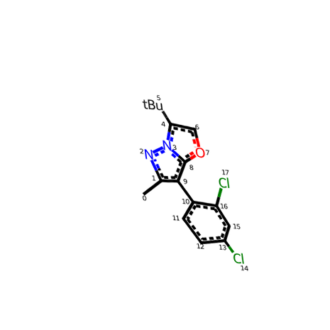 Cc1nn2c(C(C)(C)C)coc2c1-c1ccc(Cl)cc1Cl